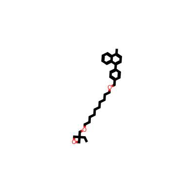 CCC1(COCCCCCCCCCCOCc2ccc(-c3ccc(C)c4ccccc34)cc2)COC1